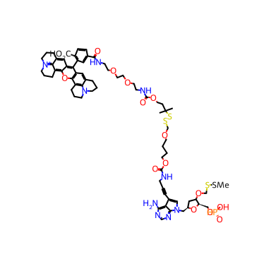 CSSCOC1C[C@H](Cn2cc(C#CCNC(=O)OCCCCOCSSC(C)(C)CCOC(=O)NCCOCCOCCNC(=O)c3ccc(C(=O)O)c(C4=c5cc6c7c(c5Oc5c4cc4c8c5CCCN8CCC4)CCC[N+]=7CCC6)c3)c3c(N)ncnc32)O[C@@H]1CO[PH](=O)O